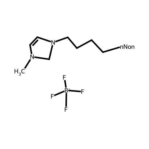 CCCCCCCCCCCCCN1C=CN(C)C1.F[B-](F)(F)F